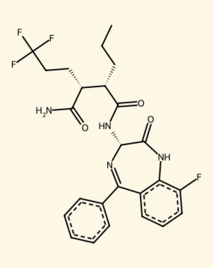 CCC[C@H](C(=O)N[C@H]1N=C(c2ccccc2)c2cccc(F)c2NC1=O)[C@@H](CCC(F)(F)F)C(N)=O